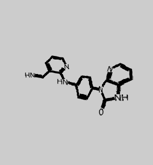 N=Cc1cccnc1Nc1ccc(-n2c(=O)[nH]c3cccnc32)cc1